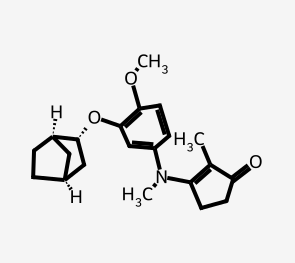 COc1ccc(N(C)C2=C(C)C(=O)CC2)cc1O[C@@H]1C[C@H]2CC[C@@H]1C2